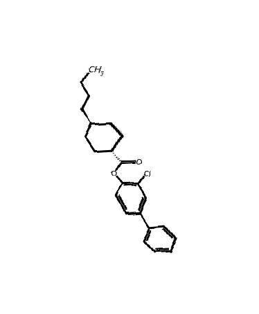 CCCC[C@H]1CC[C@H](C(=O)Oc2ccc(-c3ccccc3)cc2Cl)CC1